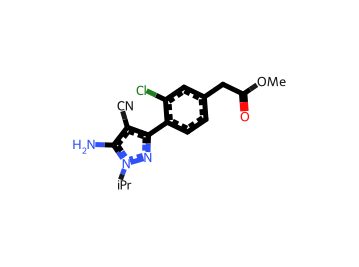 COC(=O)Cc1ccc(-c2nn(C(C)C)c(N)c2C#N)c(Cl)c1